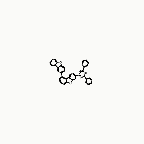 c1ccc(C2=NC(c3ccc4c(c3)oc3cccc(-c5ccc6oc7ccccc7c6c5)c34)=NC(c3ccccc3)N2)cc1